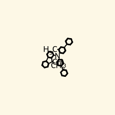 Cc1cc(-c2ccccc2)ccc1N(c1ccc(-c2ccccc2)cc1)c1cccc2c1C(C)(C)c1ccccc1-2